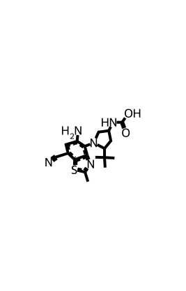 Cc1nc2c(N3CC(NC(=O)O)CC3C(C)(C)C)c(N)cc(C#N)c2s1